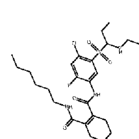 CCCCCCNC(=O)C1=C(C(=O)Nc2cc(S(=O)(=O)C(CC)PCC)c(Cl)cc2F)CCCC1